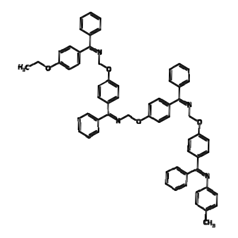 CCOc1ccc(/C(=N\COc2ccc(/C(=N\COc3ccc(/C(=N\COc4ccc(C(=Nc5ccc(C)cc5)c5ccccc5)cc4)c4ccccc4)cc3)c3ccccc3)cc2)c2ccccc2)cc1